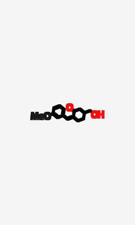 COc1cccc(/C=C2/CCC(CO)CC2=O)c1